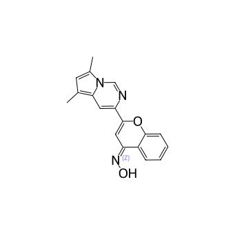 Cc1cc(C)n2cnc(-c3c/c(=N/O)c4ccccc4o3)cc12